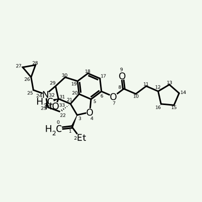 C=C(CC)[C@@H]1Oc2c(OC(=O)CCC3CCCC3)ccc3c2[C@@]12CCN(CC1CC1)C(C3)[C@@]2(C)O